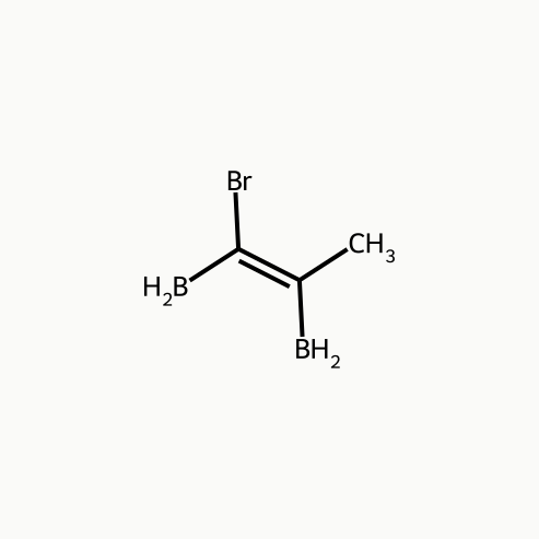 B/C(C)=C(\B)Br